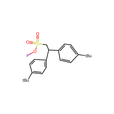 CC(C)(C)c1ccc(C(CS(=O)(=O)OI)c2ccc(C(C)(C)C)cc2)cc1